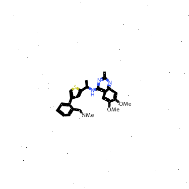 CNCc1ccccc1-c1csc(C(C)Nc2nc(C)nc3cc(OC)c(OC)cc23)c1